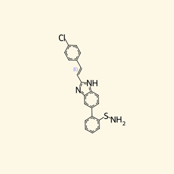 NSc1ccccc1-c1ccc2[nH]c(/C=C/c3ccc(Cl)cc3)nc2c1